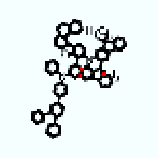 CCC1(CC)c2ccccc2-c2cc3c(cc21)N(c1ccc2c(oc4ccc5ccc6ccccc6c5c42)c1-c1cccc(N(c2ccccc2)c2ccc(-c4ccc(-c5ccccc5)c(-c5ccccc5)c4)cc2)c1)c1cccc2c1C3(C)c1ccccc1-2